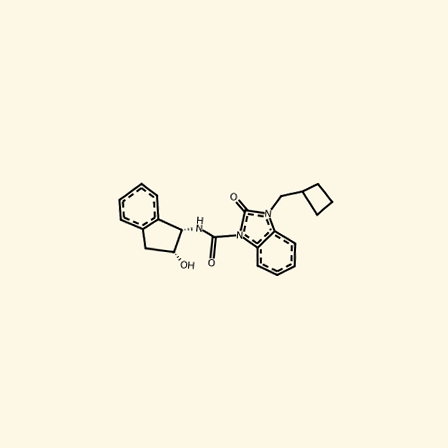 O=C(N[C@H]1c2ccccc2C[C@H]1O)n1c(=O)n(CC2CCC2)c2ccccc21